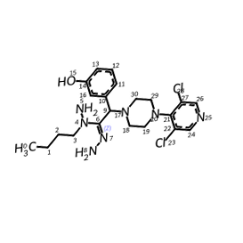 CCCCN(N)/C(=N\N)C(c1cccc(O)c1)N1CCN(c2c(Cl)cncc2Cl)CC1